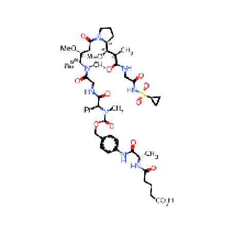 CC[C@H](C)[C@@H]([C@@H](CC(=O)N1CCC[C@H]1[C@H](OC)[C@@H](C)C(=O)NCC(=O)NS(=O)(=O)C1CC1)OC)N(C)C(=O)CNC(=O)C(C(C)C)N(C)C(=O)OCc1ccc(NC(=O)[C@H](C)NC(=O)CCCC(=O)O)cc1